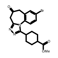 COC(=O)C1CCC(c2nnc3n2-c2ccc(Br)cc2CC(=O)C3)CC1